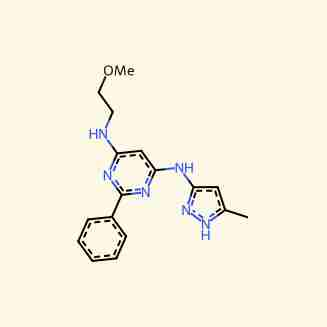 COCCNc1cc(Nc2cc(C)[nH]n2)nc(-c2ccccc2)n1